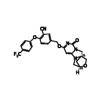 N#Cc1cc(COc2cc3n(c(=O)n2)C[C@@]24CO[C@@H](CN32)C4)ccc1Oc1ccc(C(F)(F)F)cc1